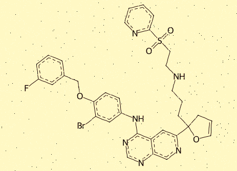 O=S(=O)(CCNCCCC1(c2cc3c(Nc4ccc(OCc5cccc(F)c5)c(Br)c4)ncnc3cn2)CC=CO1)c1ccccn1